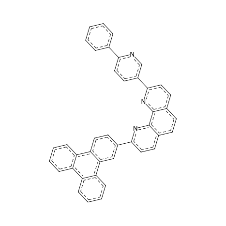 c1ccc(-c2ccc(-c3ccc4ccc5ccc(-c6ccc7c8ccccc8c8ccccc8c7c6)nc5c4n3)cn2)cc1